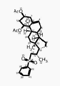 CC(=O)OC1CC2=CC[C@H]3[C@@H]4CC[C@H]([C@H](C)CS(=O)(=O)c5ccccc5)[C@@]4(C)CC[C@@H]3[C@@]2(C)C(OC(C)=O)C1